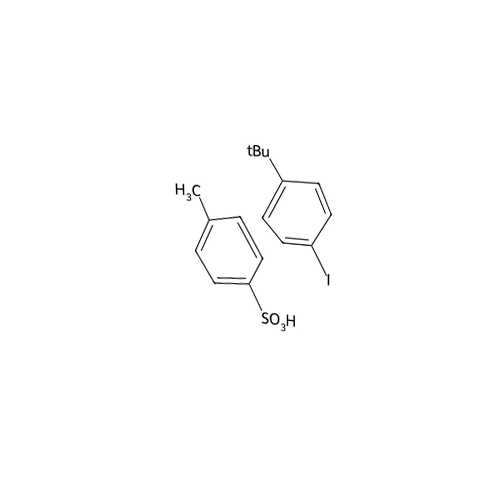 CC(C)(C)c1ccc(I)cc1.Cc1ccc(S(=O)(=O)O)cc1